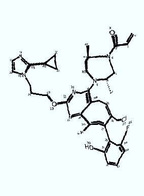 C=CC(=O)N1C[C@H](C)N(c2nc(OCCn3ccnc3C3CC3)nc3c(F)c(-c4c(O)cccc4F)c(Cl)cc23)C[C@H]1C